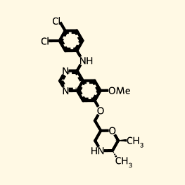 COc1cc2c(Nc3ccc(Cl)c(Cl)c3)ncnc2cc1OCC1CN[C@@H](C)[C@H](C)O1